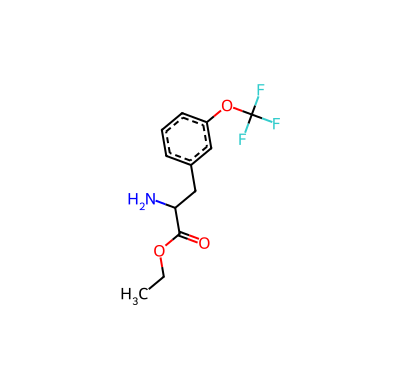 CCOC(=O)C(N)Cc1cccc(OC(F)(F)F)c1